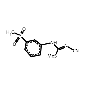 CS/C(=N\C#N)Nc1cccc(S(C)(=O)=O)c1